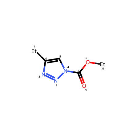 CCOC(=O)n1cc(CC)nn1